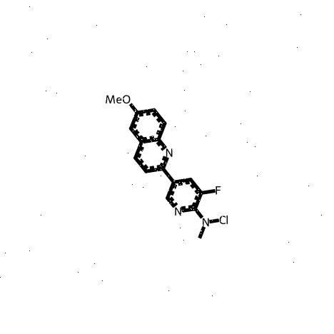 COc1ccc2nc(-c3cnc(N(C)Cl)c(F)c3)ccc2c1